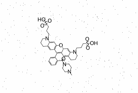 CN1CCN(C(=O)c2ccccc2C2=C3C=C4CCCN(CCCS(=O)(=O)O)C4=CC3Oc3cc4c(cc32)CCCN4CCCS(=O)(=O)O)CC1